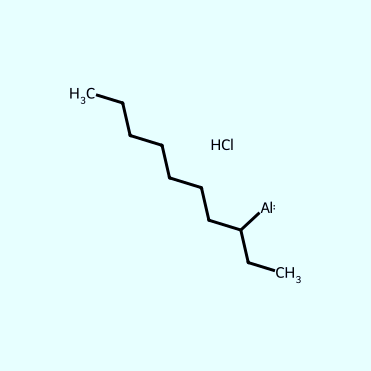 CCCCCCC[CH]([Al])CC.Cl